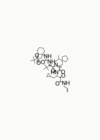 C=CCNC(=O)C(=O)C(CC1CC1)NC(=O)[C@@H]1CC2(CCCC2)C(C)CN1C(=O)[C@@H](NC(=O)NC1(CS(=O)(=O)C(C)(C)C)CCCCC1)C(C)(C)C